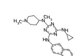 CN1CCC(N(C)c2nc(Nc3ccc4ccccc4c3)nc(NC3CC3)n2)CC1